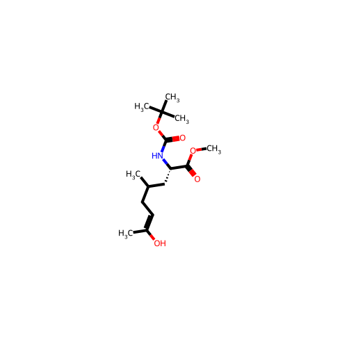 COC(=O)[C@H](CC(C)C/C=C(\C)O)NC(=O)OC(C)(C)C